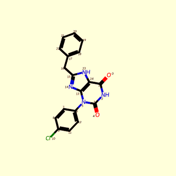 O=c1[nH]c(=O)n(-c2ccc(Cl)cc2)c2nc(Cc3ccccc3)[nH]c12